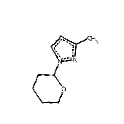 Cc1ccn(C2CCCCO2)n1